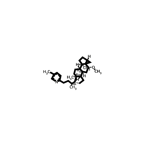 CO[C@@H]1C[C@H]2[C@@H]3CC[C@H]([C@H](C)CCc4ccc(C)cn4)[C@@]3(C)CC[C@@H]2[C@@]2(C)CC[C@@H]3CC312